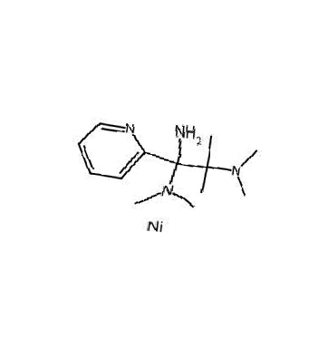 CN(C)C(C)(C)C(N)(c1ccccn1)N(C)C.[Ni]